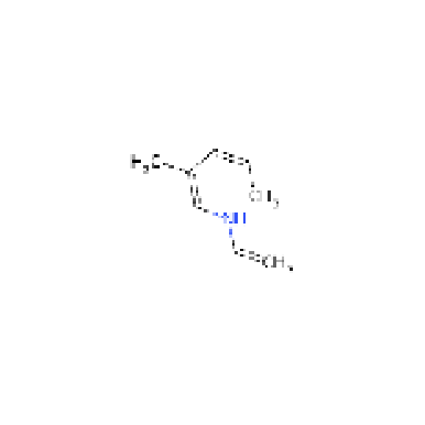 C=CN/C=C(C)\C=C/C